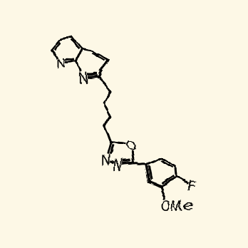 COc1cc(-c2nnc(CCCCc3ccc4cccnc4n3)o2)ccc1F